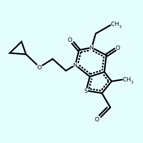 CCn1c(=O)c2c(C)c(C=O)sc2n(CCOC2CC2)c1=O